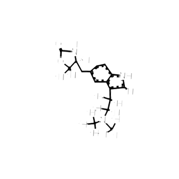 [2H]c1[nH]c2ccc(C[C@]3([2H])NC(=O)OC3([2H])[2H])cc2c1C([2H])([2H])C([2H])([2H])N(C([2H])([2H])[2H])C([2H])([2H])[2H]